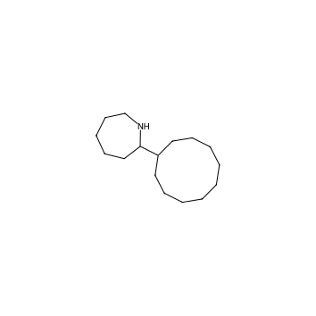 C1CCCCC(C2CCCCCN2)CCCC1